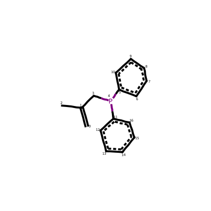 C=C(C)CP(c1ccccc1)c1ccccc1